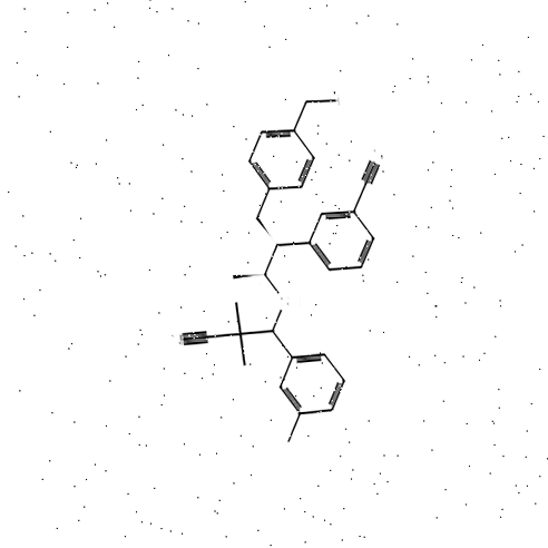 Cc1cccc(C(N[C@@H](C)[C@@H](Cc2ccc(CI)cc2)c2cccc(C#N)c2)C(C)(C)C#N)c1